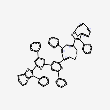 C1=C\C=C2\CC(=NC(C3=C/C(c4ccccc4)=C\C(c4cc(-c5cc(-c6ccccc6)cc(-c6nc7ccccn7c6-c6ccccc6)n5)nc(-c5ccccc5)n4)=C\CCC\3)=C2c2ccccc2)\C=C/1